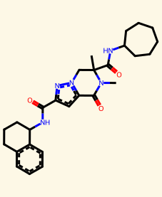 CN1C(=O)c2cc(C(=O)NC3CCCc4ccccc43)nn2CC1(C)C(=O)NC1CCCCCC1